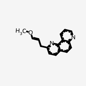 COC=CCc1ccc2ccc3ncccc3c2n1